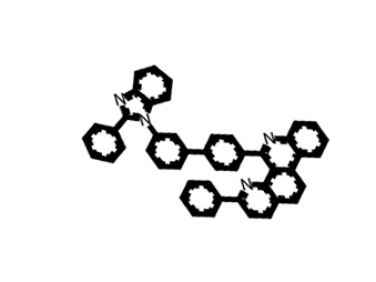 c1ccc(-c2ccc3ccc4c5ccccc5nc(-c5ccc(-c6cccc(-n7c(-c8ccccc8)nc8ccccc87)c6)cc5)c4c3n2)cc1